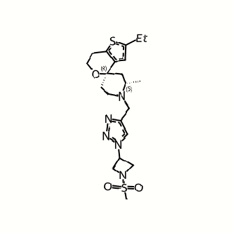 CCc1cc2c(s1)CCO[C@@]21CCN(Cc2cn(C3CN(S(C)(=O)=O)C3)nn2)[C@@H](C)C1